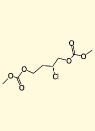 COC(=O)OCCC(Cl)COC(=O)OC